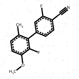 COc1ccc(C)c(-c2ccc(C#N)c(F)c2)c1F